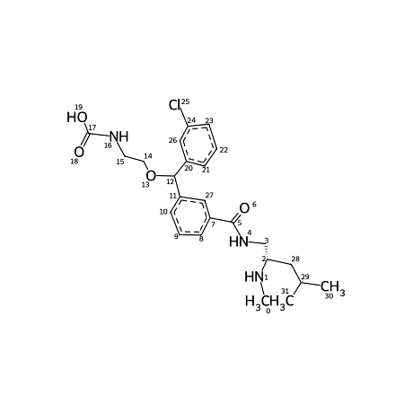 CN[C@H](CNC(=O)c1cccc(C(OCCNC(=O)O)c2cccc(Cl)c2)c1)CC(C)C